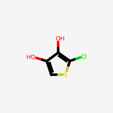 Oc1csc(Cl)c1O